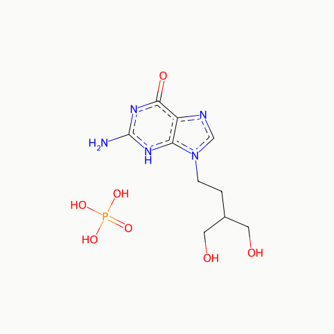 Nc1nc(=O)c2ncn(CCC(CO)CO)c2[nH]1.O=P(O)(O)O